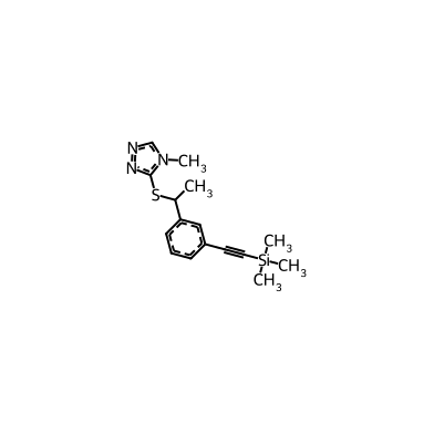 CC(Sc1nncn1C)c1cccc(C#C[Si](C)(C)C)c1